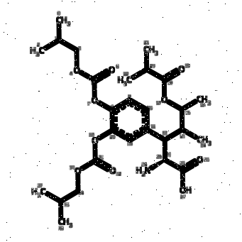 CC(C)COC(=O)Oc1ccc(C(C(C)C(C)OC(=O)C(C)C)[C@H](N)C(=O)O)cc1OC(=O)OCC(C)C